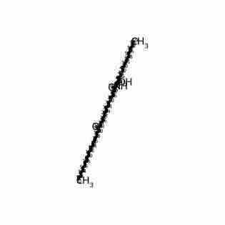 CCCCCCCCC=CCCCCCCCCCCCC(=O)CCCCCCCCCCCCCCCC(=O)NC[C@@H](O)CCCCCCCCCCCCCCCC